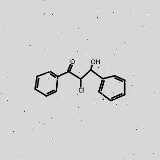 O=C(c1ccccc1)C(Cl)C(O)c1ccccc1